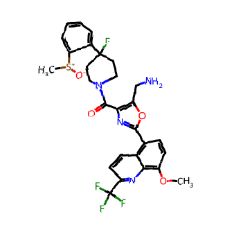 COc1ccc(-c2nc(C(=O)N3CCC(F)(c4ccccc4[S+](C)[O-])CC3)c(CN)o2)c2ccc(C(F)(F)F)nc12